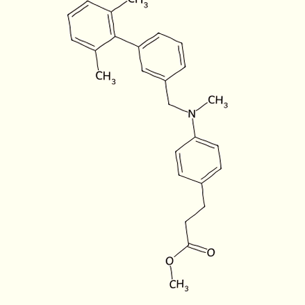 COC(=O)CCc1ccc(N(C)Cc2cccc(-c3c(C)cccc3C)c2)cc1